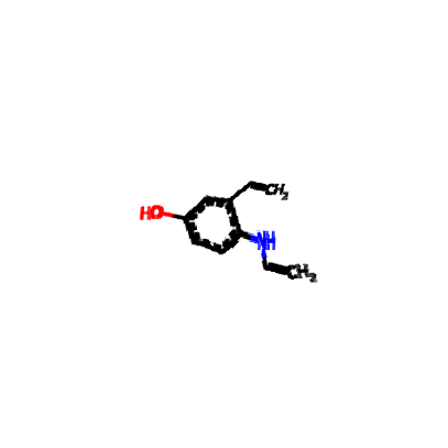 C=CNc1ccc(O)cc1C=C